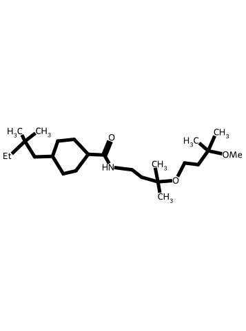 CCC(C)(C)CC1CCC(C(=O)NCCC(C)(C)OCCC(C)(C)OC)CC1